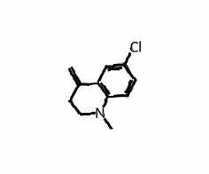 C=C1CCN(C)c2ccc(Cl)cc21